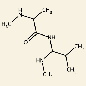 CNC(C)C(=O)NC(NC)C(C)C